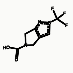 O=C(O)N1Cc2cn(C(F)(F)F)nc2C1